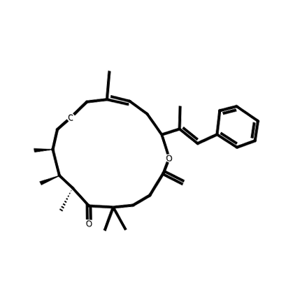 C=C1CCC(C)(C)C(=O)[C@H](C)[C@@H](C)[C@@H](C)CCC/C(C)=C\CC(/C(C)=C/c2ccccc2)O1